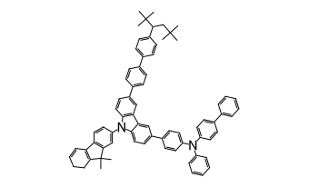 CC(C)(C)CC(c1ccc(-c2ccc(-c3ccc4c(c3)c3cc(-c5ccc(N(c6ccccc6)c6ccc(-c7ccccc7)cc6)cc5)ccc3n4-c3ccc4c(c3)C(C)(C)C3=C4C=CCC3)cc2)cc1)C(C)(C)C